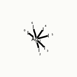 [I][Ag]([I])([I])([I])([I])[I]